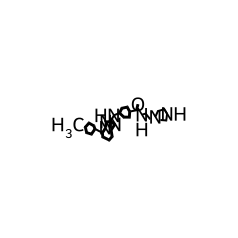 Cc1ccc(-c2cccc3nc(Nc4ccc(C(=O)NCCN5CCNCC5)cc4)nn23)cc1